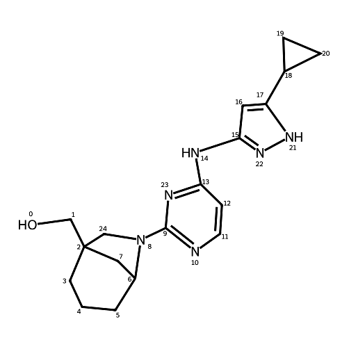 OCC12CCCC(C1)N(c1nccc(Nc3cc(C4CC4)[nH]n3)n1)C2